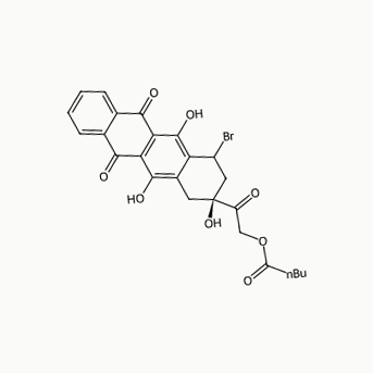 CCCCC(=O)OCC(=O)[C@]1(O)Cc2c(O)c3c(c(O)c2C(Br)C1)C(=O)c1ccccc1C3=O